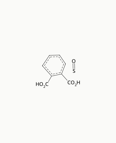 O=C(O)c1ccccc1C(=O)O.O=S